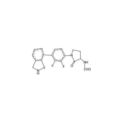 O=CNC1CCN(c2ccc(-c3cccc4c3SNC4)c(F)c2F)C1=O